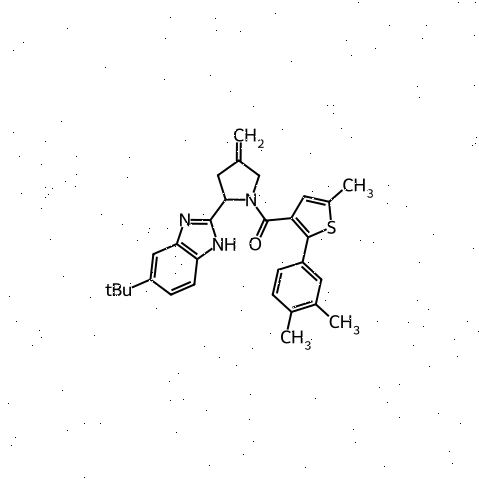 C=C1CC(c2nc3cc(C(C)(C)C)ccc3[nH]2)N(C(=O)c2cc(C)sc2-c2ccc(C)c(C)c2)C1